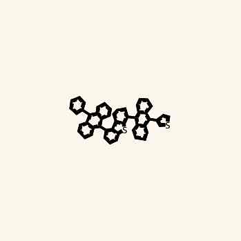 c1ccc(-c2c3ccccc3c(-c3cccc4sc5c(-c6c7ccccc7c(-c7ccsc7)c7ccccc67)cccc5c34)c3ccccc23)cc1